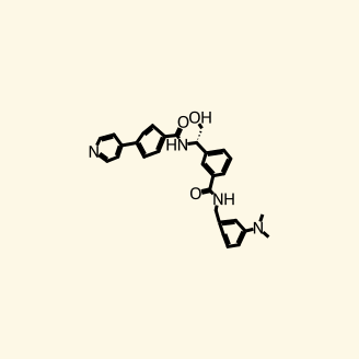 CN(C)c1cccc(CNC(=O)c2cccc([C@@H](CO)NC(=O)c3ccc(-c4ccncc4)cc3)c2)c1